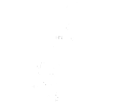 CN(C(=O)Oc1ccc(CCNC(=O)OCc2ccccc2)cc1Cl)C1CCNC1